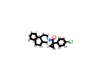 O=C(N1CCC2c3ccccc3CCC2C1)C1(c2ccc(Cl)cc2)CC1